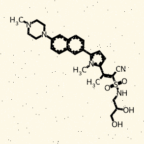 C/C(=C(/C#N)S(=O)(=O)NCC(O)CO)c1ccc(-c2ccc3cc(N4CCN(C)CC4)ccc3c2)n1C